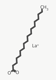 CCCCCCCCCCCCCCCCCC(=O)[O-].[La+]